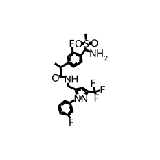 CC(C(=O)NCc1cc(C(F)(F)F)nn1-c1cccc(F)c1)c1ccc(C(N)S(C)(=O)=O)c(F)c1